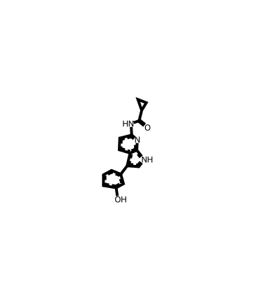 O=C(Nc1ccc2c(-c3cccc(O)c3)c[nH]c2n1)C1CC1